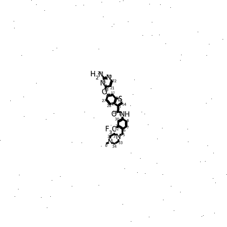 CN1CCN(Cc2ccc(NC(=O)c3csc4cc(Oc5ccnc(N)n5)ccc34)cc2C(F)(F)F)CC1